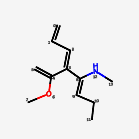 C=C/C=C(C(=C)OC)/C(=C/CC)NC